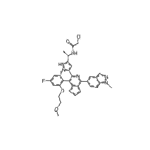 COCCOc1cc(F)cc(F)c1-c1c(-c2cc([C@@H](C)NC(=O)CCl)[nH]n2)nc(-c2ccc3c(cnn3C)c2)c2ccsc12